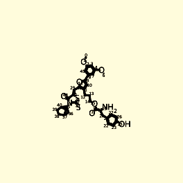 COc1cc(OC)cc(-c2cc(CCCOC(=O)[C@@H](N)Cc3ccc(O)cc3)c(/C=C3\SC(=S)N(C4CC5CCC4C5)C3=O)o2)c1